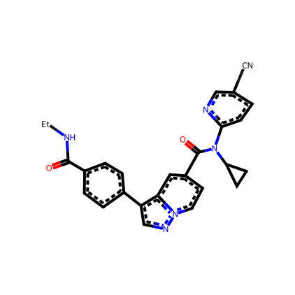 CCNC(=O)c1ccc(-c2cnn3ccc(C(=O)N(c4ccc(C#N)cn4)C4CC4)cc23)cc1